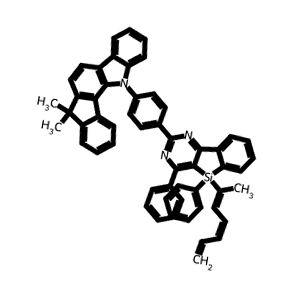 C=C/C=C\C=C(/C)[Si]1(c2ccccc2)c2ccccc2-c2nc(-c3ccc(-n4c5ccccc5c5ccc6c(c54)-c4ccccc4C6(C)C)cc3)nc(-c3ccccc3)c21